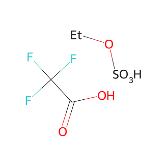 CCOS(=O)(=O)O.O=C(O)C(F)(F)F